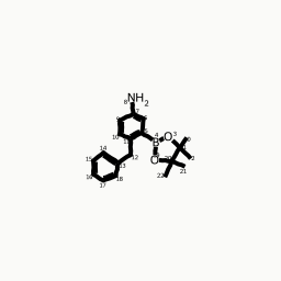 CC1(C)OB(c2cc(N)ccc2Cc2ccccc2)OC1(C)C